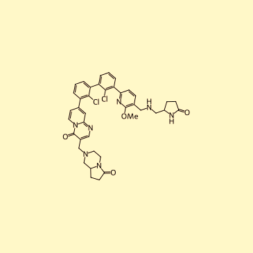 COc1nc(-c2cccc(-c3cccc(-c4ccn5c(=O)c(CN6CCN7C(=O)CCC7C6)cnc5c4)c3Cl)c2Cl)ccc1CNCC1CCC(=O)N1